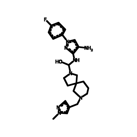 Cn1cc(CN2CCCC3(CCN(C(O)Nc4nn(-c5ccc(F)cc5)cc4N)C3)C2)cn1